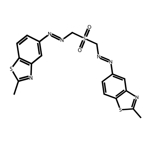 Cc1nc2cc(N=NCS(=O)(=O)CN=Nc3ccc4sc(C)nc4c3)ccc2s1